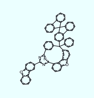 c1ccc(C2(c3ccc4c(c3)-c3ccccc3C43c4ccccc4-c4ccccc43)c3cccc(c3)-c3nc(-c4ccc5oc6ccccc6c5c4)nc(n3)-c3cccc4oc5ccc2cc5c34)cc1